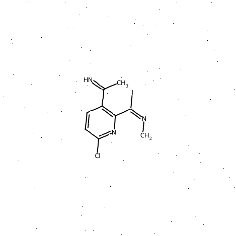 C/N=C(/I)c1nc(Cl)ccc1C(C)=N